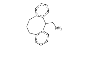 NCC1c2ccccc2CCCc2ccccc21